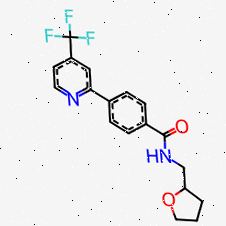 O=C(NCC1CCCO1)c1ccc(-c2cc(C(F)(F)F)ccn2)cc1